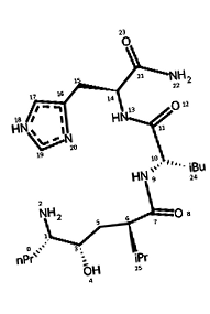 CCC[C@H](N)[C@@H](O)C[C@@H](C(=O)N[C@H](C(=O)N[C@@H](Cc1c[nH]cn1)C(N)=O)[C@@H](C)CC)C(C)C